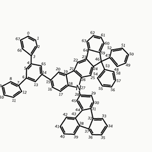 c1ccc(-c2cc(-c3ccccc3)cc(-c3ccc4c(c3)c3cc5c(cc3n4-c3ccc4c6ccccc6c6ccccc6c4c3)C(c3ccccc3)(c3ccccc3)c3ccccc3-5)c2)cc1